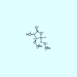 CCCCOCC1(C)OC(=O)[C@H](O)[C@@H]1OCCCC